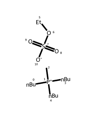 CCCC[P+](C)(CCCC)CCCC.CCOS(=O)(=O)[O-]